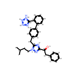 CC(C)CCn1nc(C(=O)Cc2ccccc2)nc1Cc1ccc(-c2ccccc2-c2nnn[nH]2)cc1